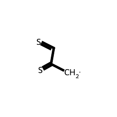 [CH2]C(=S)C=S